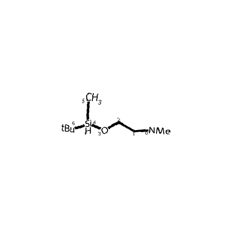 CNCCO[SiH](C)C(C)(C)C